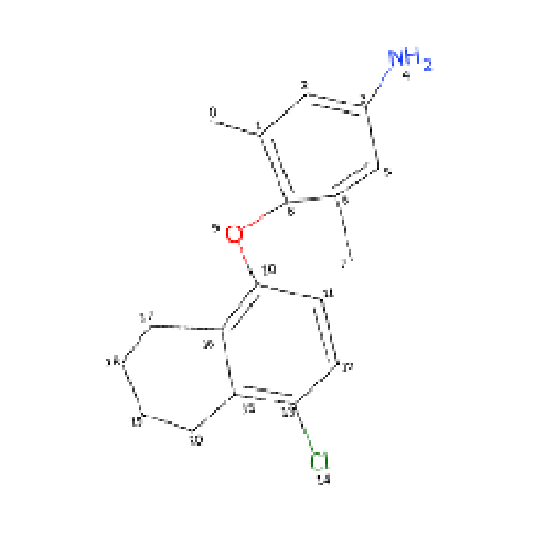 Cc1cc(N)cc(C)c1Oc1ccc(Cl)c2c1CCCC2